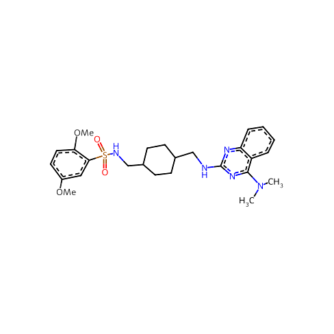 COc1ccc(OC)c(S(=O)(=O)NCC2CCC(CNc3nc(N(C)C)c4ccccc4n3)CC2)c1